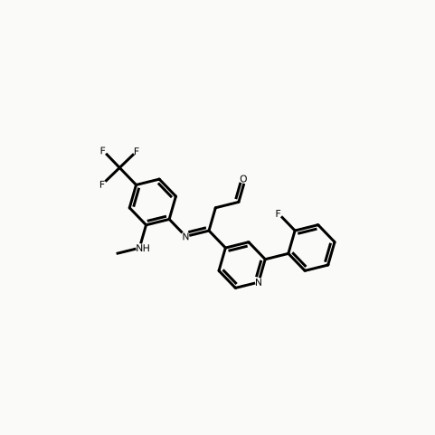 CNc1cc(C(F)(F)F)ccc1/N=C(\CC=O)c1ccnc(-c2ccccc2F)c1